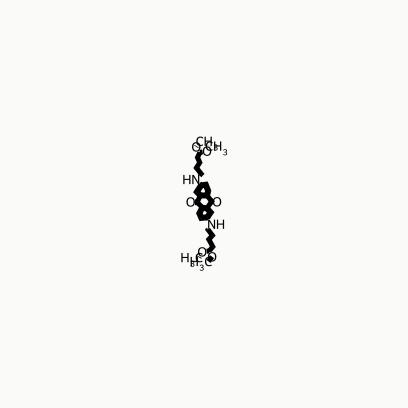 COC(CCCCNc1ccc2c(c1)C(=O)c1ccc(NCCCCC(OC)OC)cc1C2=O)OC